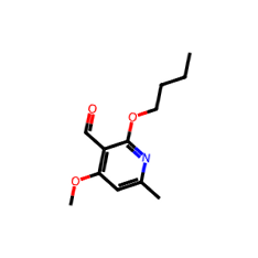 CCCCOc1nc(C)cc(OC)c1C=O